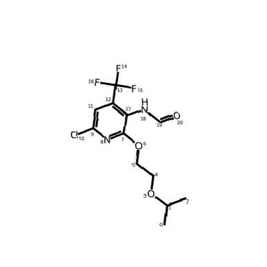 CC(C)OCCOc1nc(Cl)cc(C(F)(F)F)c1NC=O